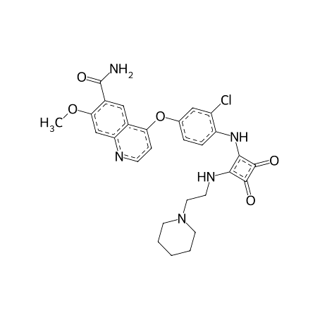 COc1cc2nccc(Oc3ccc(Nc4c(NCCN5CCCCC5)c(=O)c4=O)c(Cl)c3)c2cc1C(N)=O